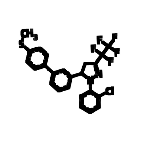 CSc1ccc(-c2cccc(C3CC(C(F)(F)C(F)(F)F)=NN3c3ccccc3Cl)c2)cc1